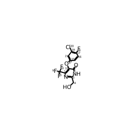 O=c1[nH]c(CO)nc(C(F)(F)F)c1Oc1ccc(F)c(Cl)c1